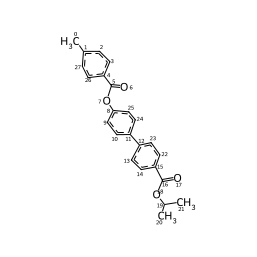 Cc1ccc(C(=O)Oc2ccc(-c3ccc(C(=O)OC(C)C)cc3)cc2)cc1